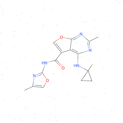 Cc1coc(NC(=O)c2coc3nc(C)nc(NC4(C)CC4)c23)n1